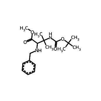 COC(=O)C(NCc1ccccc1)C(C)(C)NC(=O)OC(C)(C)C